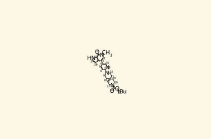 Cn1cc(-c2ccc(N3CCC4(CCN(C(=O)OC(C)(C)C)CC4)CC3)nc2)c2cc[nH]c2c1=O